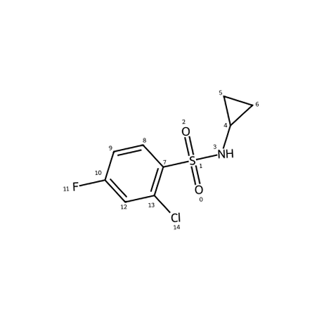 O=S(=O)(NC1CC1)c1ccc(F)cc1Cl